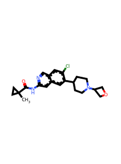 CC1(C(=O)Nc2cc3cc(C4CCN(C5COC5)CC4)c(Cl)cc3cn2)CC1